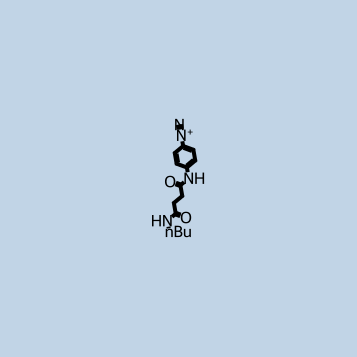 CCCCNC(=O)CCC(=O)Nc1ccc([N+]#N)cc1